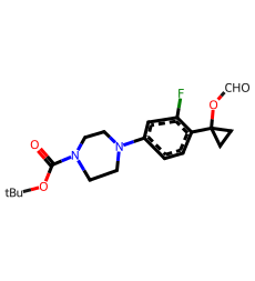 CC(C)(C)OC(=O)N1CCN(c2ccc(C3(OC=O)CC3)c(F)c2)CC1